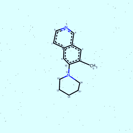 Cc1cc2cnccc2cc1N1CCCCC1